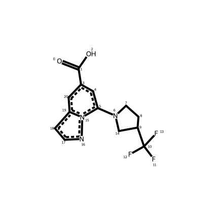 O=C(O)c1cc(N2CCC(C(F)(F)F)C2)n2nccc2c1